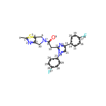 Cc1nc2c(s1)CN(C(=O)Cc1nc(-c3ccc(F)cc3)cn1-c1ccc(F)cc1)C2